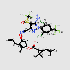 C=CCC1=C(C)C(OC(=O)C2C(C=C(C)C)C2(C)C)CC1=O.N#Cc1nn(-c2c(Cl)cc(C(F)(F)F)cc2Cl)c(N)c1[S+]([O-])C(F)(F)F